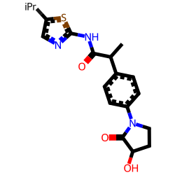 CC(C)c1cnc(NC(=O)C(C)c2ccc(N3CCC(O)C3=O)cc2)s1